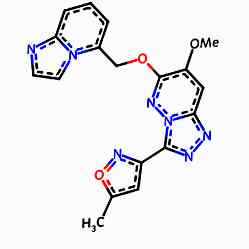 COc1cc2nnc(-c3cc(C)on3)n2nc1OCc1cccc2nccn12